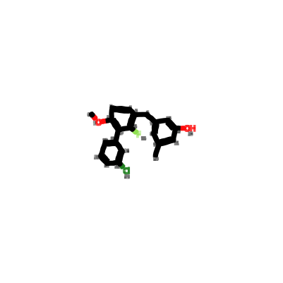 COc1ccc(Cc2cc(C)cc(O)c2)c(F)c1-c1cccc(Cl)c1